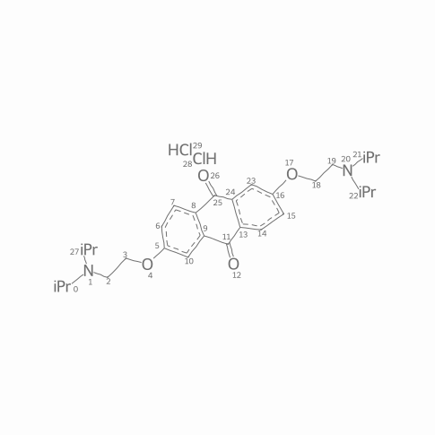 CC(C)N(CCOc1ccc2c(c1)C(=O)c1ccc(OCCN(C(C)C)C(C)C)cc1C2=O)C(C)C.Cl.Cl